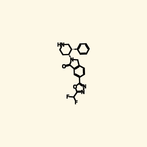 O=C1c2cc(-c3nnc(C(F)F)o3)ccc2CN1[C@@H]1CCNC[C@@H]1c1ccccc1